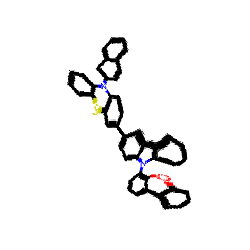 c1ccc2c(c1)Sc1cc(-c3ccc4c(c3)c3ccccc3n4-c3cccc4c3oc3ccccc34)ccc1N2c1ccc2ccccc2c1